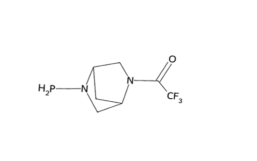 O=C(N1CC2CC1CN2P)C(F)(F)F